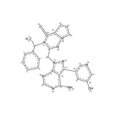 CC(c1ccccc1)n1c(Cn2nc(-c3cncc(O)c3)c3c(N)ncnc32)nn2cccc2c1=O